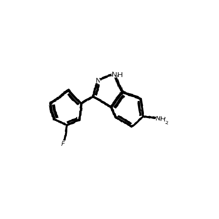 Nc1ccc2c(-c3cccc(F)c3)n[nH]c2c1